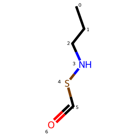 CCCNS[C]=O